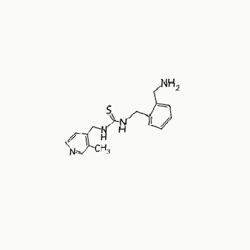 Cc1cnccc1CNC(=S)NCc1ccccc1CN